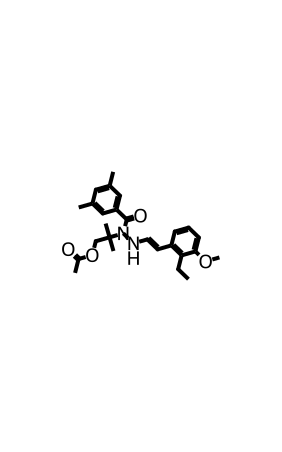 CCc1c(C=CNN(C(=O)c2cc(C)cc(C)c2)C(C)(C)COC(C)=O)cccc1OC